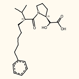 CC(C)[C@H](CCCCCc1ccccc1)C(=O)N1CCC[C@H]1C(O)C(=O)O